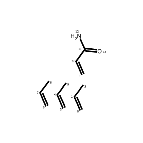 C=CC.C=CC.C=CC.C=CC(N)=O